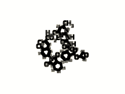 CCOC(=O)/C(Cl)=C/c1cc(N2C(=O)C3=C(CCCC3)C2=O)ccc1Cl.Cc1cc(C)nc(NC(=O)NS(=O)(=O)c2ccccc2C(=O)OC2COC2)n1